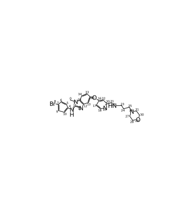 Cn1c(Nc2ccc(Br)cc2)nc2cc(Oc3ccnc(CNCCCN4CCOCC4)c3)ccc21